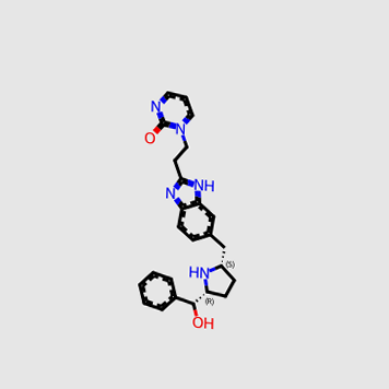 O=c1ncccn1CCc1nc2ccc(C[C@@H]3CC[C@H](C(O)c4ccccc4)N3)cc2[nH]1